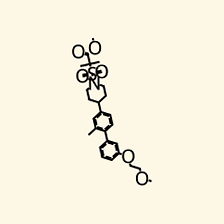 COCCOc1cccc(-c2ccc(C3CCN(S(=O)(=O)C(C)(C)C(=O)OC)CC3)cc2C)c1